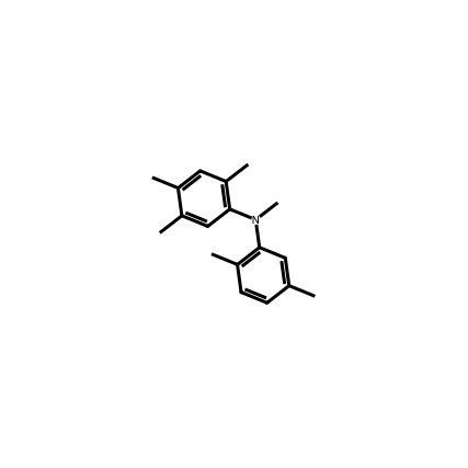 Cc1ccc(C)c(N(C)c2cc(C)c(C)cc2C)c1